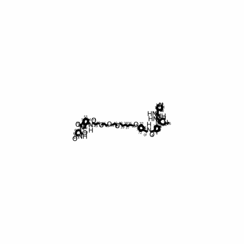 C[C@@H](NC(=O)c1cccc(NC2(C(=N)NC(=N)c3ccncc3)CCN(C)CC2)c1)c1ccc(OCCCCCCOCCOCCOCCC(=O)Nc2cccc3c2CN(C2CCC(=O)NC2=O)C3=O)cc1